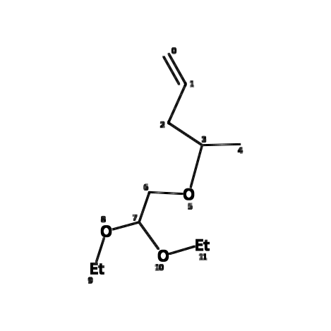 C=CCC(C)OCC(OCC)OCC